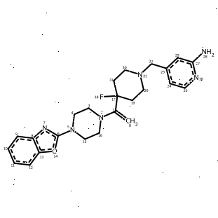 C=C(N1CCN(c2nc3ccccc3o2)CC1)C1(F)CCN(Cc2ccnc(N)c2)CC1